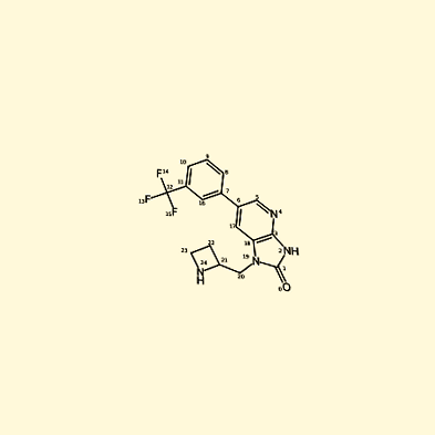 O=c1[nH]c2ncc(-c3cccc(C(F)(F)F)c3)cc2n1CC1CCN1